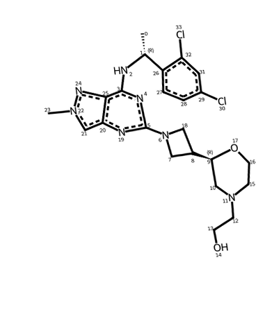 C[C@@H](Nc1nc(N2CC([C@@H]3CN(CCO)CCO3)C2)nc2cn(C)nc12)c1ccc(Cl)cc1Cl